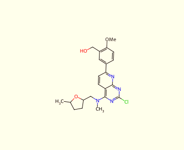 COc1ccc(-c2ccc3c(N(C)CC4CCC(C)O4)nc(Cl)nc3n2)cc1CO